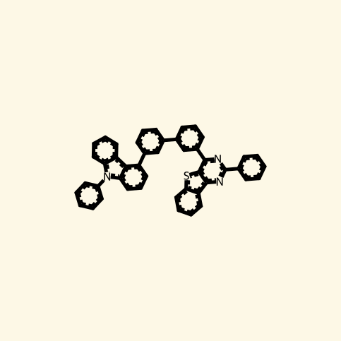 c1ccc(-c2nc(-c3cccc(-c4cccc(-c5cccc6c5c5ccccc5n6-c5ccccc5)c4)c3)c3sc4ccccc4c3n2)cc1